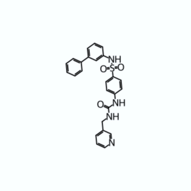 O=C(NCc1cccnc1)Nc1ccc(S(=O)(=O)Nc2cccc(-c3ccccc3)c2)cc1